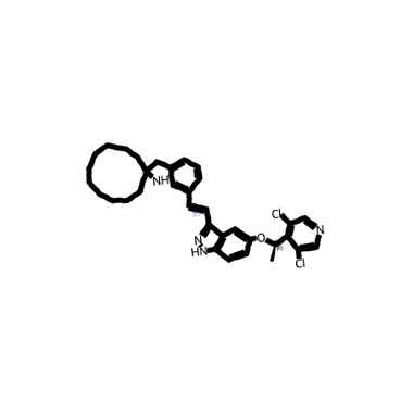 C[C@@H](Oc1ccc2[nH]nc(/C=C/c3cccc(CC4(N)CCCCCCCCCC4)c3)c2c1)c1c(Cl)cncc1Cl